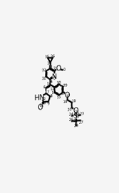 COc1nc(/C(=C/[C@H]2CCC(=O)N2)c2ccc(OCCCO[Si](C)(C)C(C)(C)C)cc2)ccc1C1CC1